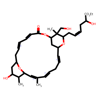 CCOC(=O)C(O)C/C=C\CC1OC2/C=C/C/C=C/C(C)=C\C3OC(C/C=C/C=C/C(=O)OC(C2)C1(C)CO)CC(O)C3C